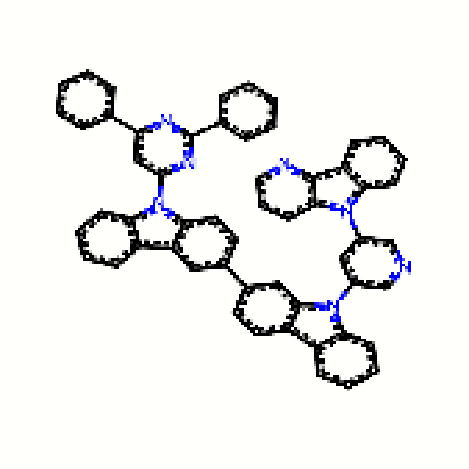 c1ccc(-c2cc(-n3c4ccccc4c4cc(-c5ccc6c7ccccc7n(-c7cncc(-n8c9ccccc9c9ncccc98)c7)c6c5)ccc43)nc(-c3ccccc3)n2)cc1